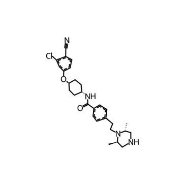 C[C@@H]1CNC[C@@H](C)N1CCc1ccc(C(=O)N[C@H]2CC[C@H](Oc3ccc(C#N)c(Cl)c3)CC2)cc1